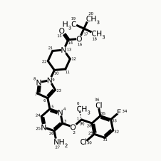 C[C@@H](Oc1nc(-c2cnn(C3CCN(C(=O)OC(C)(C)C)CC3)c2)cnc1N)c1c(Cl)ccc(F)c1Cl